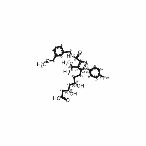 COCc1cccc(CNC(=O)c2nn(-c3ccc(F)cc3)c(CC[C@@H](O)C[C@@H](O)CC(=O)O)c2C(C)C)c1